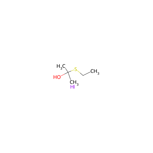 CCSC(C)(C)O.I